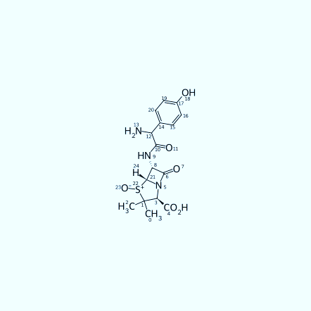 CC1(C)[C@H](C(=O)O)N2C(=O)[C@@H](NC(=O)C(N)c3ccc(O)cc3)[C@H]2[S+]1[O-]